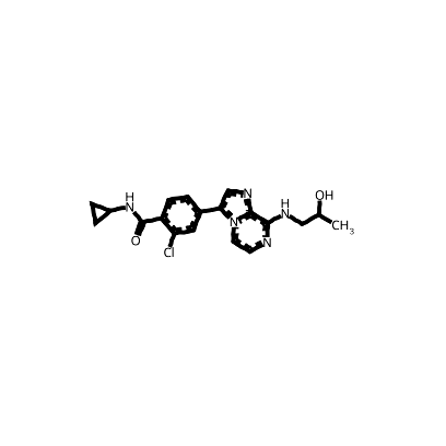 CC(O)CNc1nccn2c(-c3ccc(C(=O)NC4CC4)c(Cl)c3)cnc12